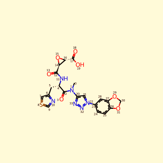 CN(C(=O)[C@H](Cc1cscn1)NC(=O)[C@H]1O[C@@H]1C(=O)O)c1cn(-c2ccc3c(c2)OCO3)nn1